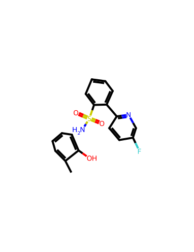 Cc1ccccc1O.NS(=O)(=O)c1ccccc1-c1ccc(F)cn1